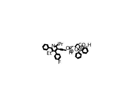 CCc1c(-c2ccccc2)nc(C(C)C)c(C#CCO[PH](=O)C[C@H](CC(=O)O)O[Si](c2ccccc2)(c2ccccc2)C(C)(C)C)c1-c1ccc(F)cc1